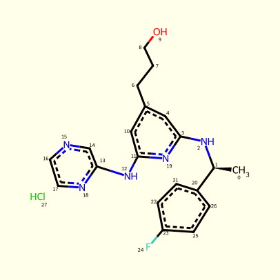 C[C@H](Nc1cc(CCCO)cc(Nc2cnccn2)n1)c1ccc(F)cc1.Cl